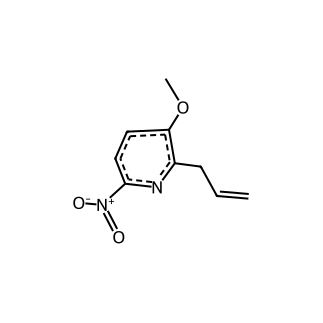 C=CCc1nc([N+](=O)[O-])ccc1OC